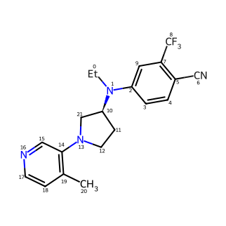 CCN(c1ccc(C#N)c(C(F)(F)F)c1)[C@H]1CCN(c2cnccc2C)C1